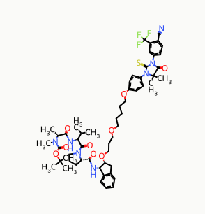 CC(C)[C@H](NC(=O)[C@H](C)N(C)C(=O)OC(C)(C)C)C(=O)N1CCC[C@H]1C(=O)N[C@H]1c2ccccc2C[C@H]1OCCCOCCCCCOc1ccc(N2C(=S)N(c3ccc(C#N)c(C(F)(F)F)c3)C(=O)C2(C)C)cc1